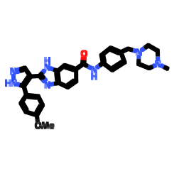 COc1ccc(-c2[nH]ncc2-c2nc3ccc(C(=O)Nc4ccc(CN5CCN(C)CC5)cc4)cc3[nH]2)cc1